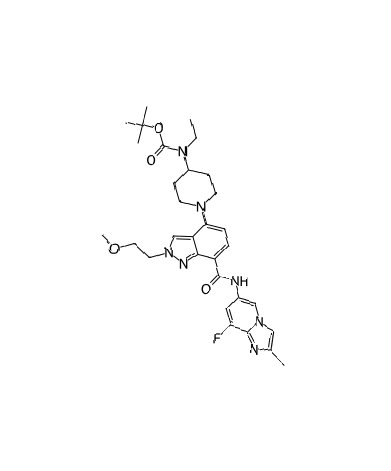 CCN(C(=O)OC(C)(C)C)C1CCN(c2ccc(C(=O)Nc3cc(F)c4nc(C)cn4c3)c3nn(CCOC)cc23)CC1